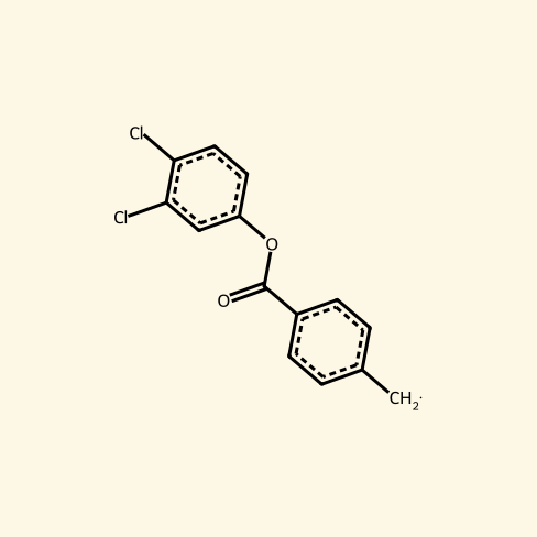 [CH2]c1ccc(C(=O)Oc2ccc(Cl)c(Cl)c2)cc1